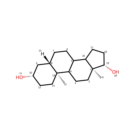 C[C@]12CCC3C(CC[C@H]4C[C@@H](O)CC[C@]34C)C1CC[C@@H]2O